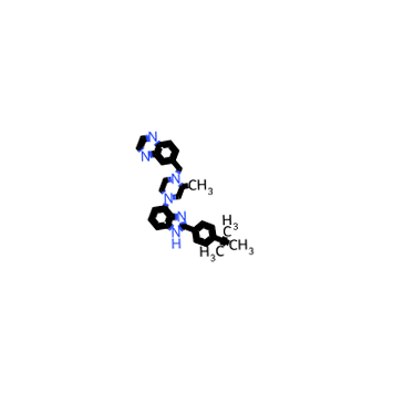 CC1CN(c2cccc3[nH]c(-c4ccc(C(C)(C)C)cc4)nc23)CCN1Cc1ccc2nccnc2c1